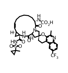 Cc1nc2ccc(C(F)(F)F)cc2c2c1O[C@]1(CC2)C[C@H]2C(=O)N[C@]3(C(=O)NS(=O)(=O)C4(C)CC4)C[C@H]3/C=C\CCCCC[C@H](NC(=O)O)C(=O)N2C1